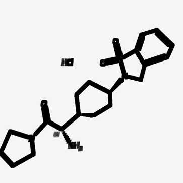 Cl.N[C@H](C(=O)N1CCCC1)[C@H]1CC[C@H](N2Cc3ccccc3S2(=O)=O)CC1